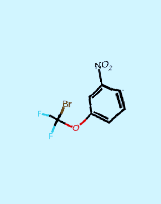 O=[N+]([O-])c1[c]ccc(OC(F)(F)Br)c1